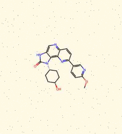 COc1ccc(-c2ccc3ncc4[nH]c(=O)n([C@H]5CC[C@H](O)CC5)c4c3n2)cn1